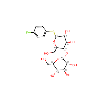 OC[C@H]1O[C@H](O[C@H]2[C@H](O)[C@@H](O)[C@H](Sc3ccc(F)cc3)O[C@@H]2CO)[C@H](O)[C@@H](O)[C@@H]1O